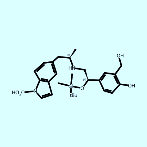 C[C@H](Cc1ccc2c(ccn2C(=O)O)c1)NC[C@H](O[Si](C)(C)C(C)(C)C)c1ccc(O)c(CO)c1